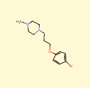 CN1CCN(CCCOc2ccc(Br)cc2)CC1